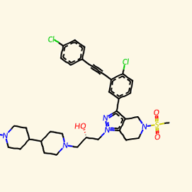 CN1CCC(C2CCN(C[C@H](O)Cn3nc(-c4ccc(Cl)c(C#Cc5ccc(Cl)cc5)c4)c4c3CCN(S(C)(=O)=O)C4)CC2)CC1